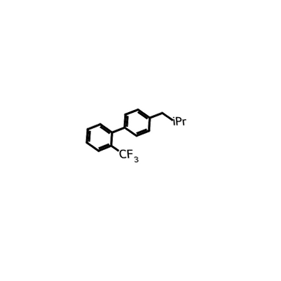 CC(C)Cc1ccc(-c2ccccc2C(F)(F)F)cc1